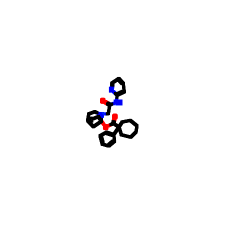 O=C(C[N+]12CCC(CC1)CC2OC(=O)C1(c2ccccc2)CCCCCC1)Nc1ccccn1